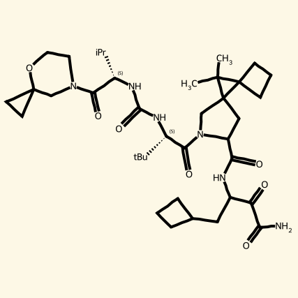 CC(C)[C@H](NC(=O)N[C@H](C(=O)N1CC2(CC1C(=O)NC(CC1CCC1)C(=O)C(N)=O)C(C)(C)C21CCC1)C(C)(C)C)C(=O)N1CCOC2(CC2)C1